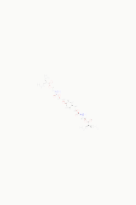 C=C(C)C(=O)OCCNC(=O)OCCOc1ccc(CCOC(=O)NCCOC(=O)C(=C)C)cc1